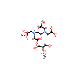 O=C([O-])CN(CCN(CC(=O)[O-])CC(=O)O)CC(=O)[O-].OCC(O)CO.[Na+].[Na+].[Na+]